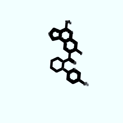 Nc1nc2cc(F)c(C(=O)N3CCCCN3c3ccc(C(F)(F)F)cn3)cc2c2cscc12